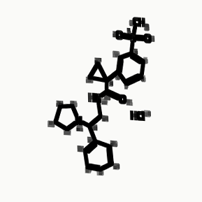 CS(=O)(=O)c1cccc(C2(C(=O)NCC(c3ccccc3)N3CCCC3)CC2)c1.Cl